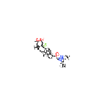 C[C@@]1(O)CC[C@]2(F)C3CC[C@]4(C)[C@@H](C(=O)Cn5nc(C#N)cc5C#N)CC[C@H]4[C@@H]3CC[C@@H]2C1